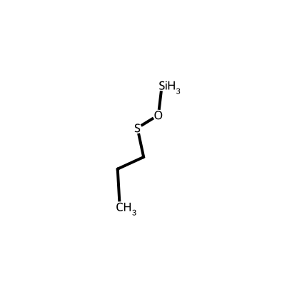 CCCSO[SiH3]